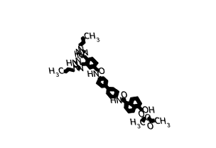 CCCCN1N=C(c2cc(C(=O)Nc3ccc(-c4ccc(NC(=O)c5cccc6c(C(O)OC(C)OC(C)=O)cccc56)cc4)cc3)ccc2-c2nnn(CCCC)n2)NN1